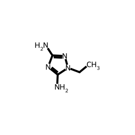 CCn1nc(N)nc1N